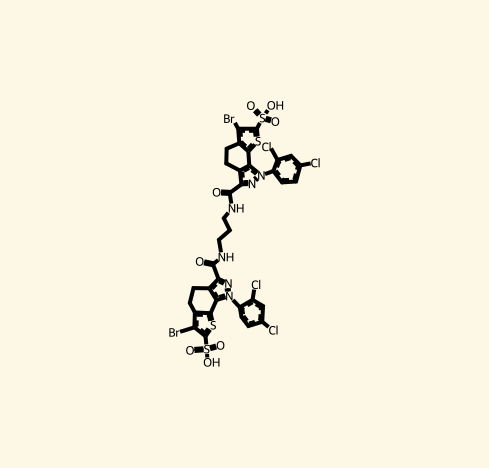 O=C(NCCCNC(=O)c1nn(-c2ccc(Cl)cc2Cl)c2c1CCc1c-2sc(S(=O)(=O)O)c1Br)c1nn(-c2ccc(Cl)cc2Cl)c2c1CCc1c-2sc(S(=O)(=O)O)c1Br